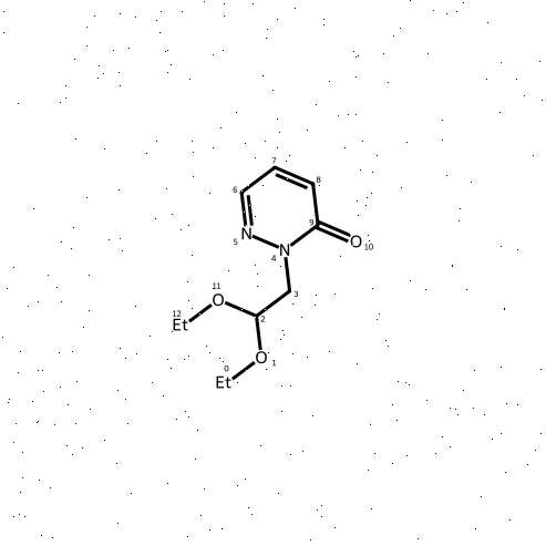 CCOC(Cn1ncccc1=O)OCC